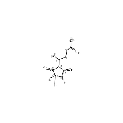 CN1C(=O)N(C(Br)CCC(=O)O)C(=O)C1(C)C